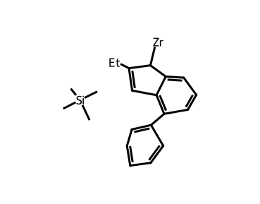 CCC1=Cc2c(-c3ccccc3)cccc2[CH]1[Zr].C[Si](C)(C)C